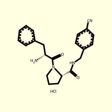 Cl.N#Cc1ccc(CNC(=O)[C@@H]2CCCN2C(=O)[C@H](N)Cc2ccccc2)cc1